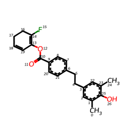 Cc1cc(CCc2ccc(C(=O)OC3=C(F)CCC=C3)cc2)cc(C)c1O